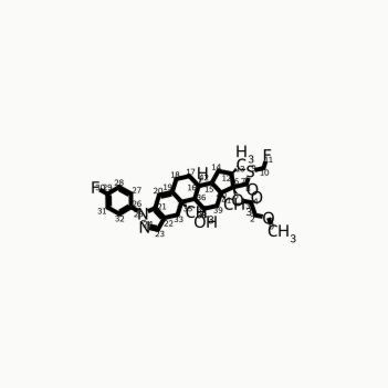 COCC(=O)O[C@]1(C(=O)SCF)[C@H](C)CC2[C@@H]3CCC4=Cc5c(cnn5-c5ccc(F)cc5)C[C@]4(C)C3[C@@H](O)C[C@@]21C